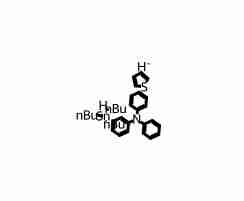 CCC[CH2][SnH]([CH2]CCC)[CH2]CCC.[H-].c1ccc(N(c2ccccc2)c2ccccc2)cc1.c1ccsc1